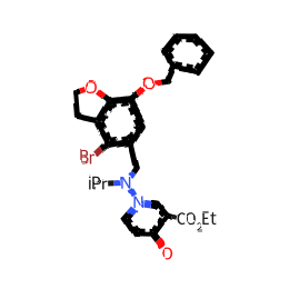 CCOC(=O)c1cn(N(Cc2cc(OCc3ccccc3)c3c(c2Br)CCO3)C(C)C)ccc1=O